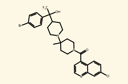 CC1(N2CCC(C(O)(c3ccc(Br)cc3)C(F)(F)F)CC2)CCN(C(=O)c2ccnc3cc(Cl)ccc23)CC1